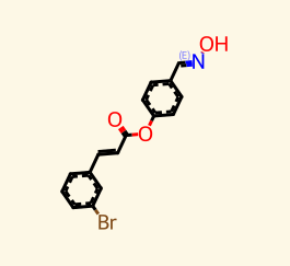 O=C(C=Cc1cccc(Br)c1)Oc1ccc(/C=N/O)cc1